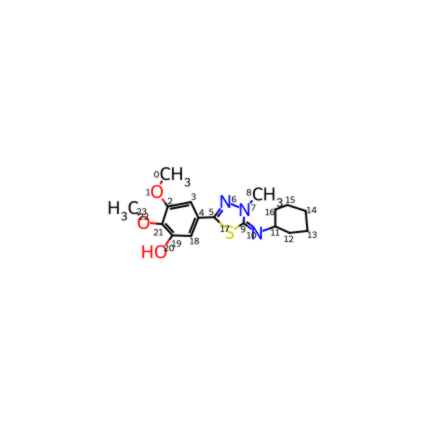 COc1cc(-c2nn(C)/c(=N\C3CCCCC3)s2)cc(O)c1OC